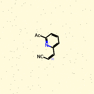 CC(=O)c1cccc(/C=C\C#N)n1